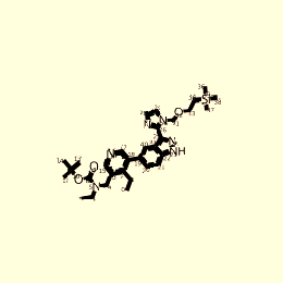 CCc1c(CN(CC)C(=O)OC(C)(C)C)cncc1-c1ccc2[nH]nc(-c3nccn3COCC[Si](C)(C)C)c2c1